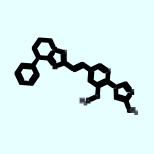 COc1cc(/C=C/c2nc3n(n2)CCC[C@@H]3c2ccccc2)cnc1-n1cnc(C)c1